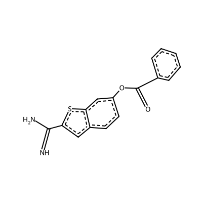 N=C(N)c1cc2ccc(OC(=O)c3ccccc3)cc2s1